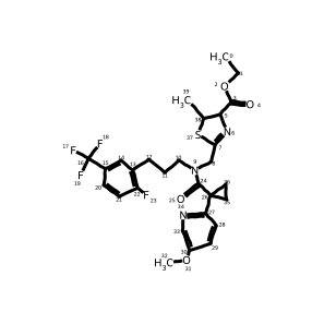 CCOC(=O)C1N=C(CN(CCCc2cc(C(F)(F)F)ccc2F)C(=O)C2(c3ccc(OC)cn3)CC2)SC1C